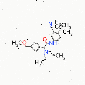 C=CCN(CC=C)C(C(=O)Nc1ccc([Si](C)(C)C)c(C#N)c1)c1ccc(COC)cc1